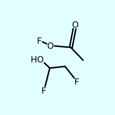 CC(=O)OF.OC(F)CF